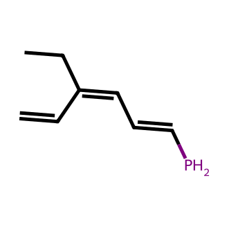 C=C/C(=C\C=C\P)CC